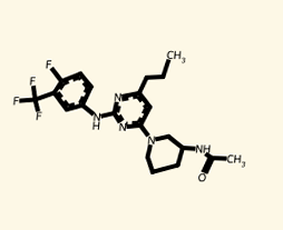 CCCc1cc(N2CCCC(NC(C)=O)C2)nc(Nc2ccc(F)c(C(F)(F)F)c2)n1